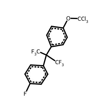 Fc1ccc(C(c2ccc(OC(Cl)(Cl)Cl)cc2)(C(F)(F)F)C(F)(F)F)cc1